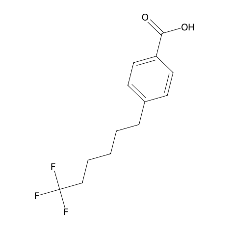 O=C(O)c1ccc(CCCCCC(F)(F)F)cc1